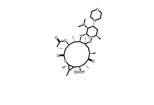 CO[C@@]1(C)C[C@@H](C)C(=O)[C@H](C)[C@@H](O)[C@@]2(O)C(C)[C@H]2OC(=O)[C@H](C)[C@@H](OC(C)=O)[C@H](C)[C@H]1O[C@@H]1O[C@H](C)C[C@@H](N2CCOCC2)[C@@H]1N(C)C